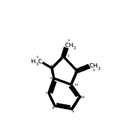 C=C1C(=C)C(C)c2ccccc21